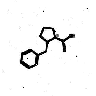 O=C(O)[C@@H]1CCCN1Cc1ccccc1